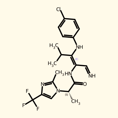 Cc1nc(C(F)(F)F)cn1[C@@H](C)C(=O)N/C(C=N)=C(/Nc1ccc(Cl)cc1)C(C)C